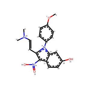 COc1ccc(-n2c(C=CN(C)C)c([N+](=O)[O-])c3ccc(O)cc32)cc1